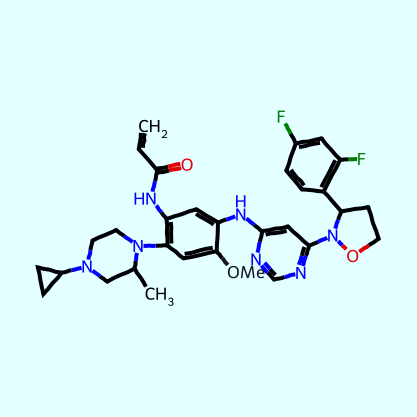 C=CC(=O)Nc1cc(Nc2cc(N3OCCC3c3ccc(F)cc3F)ncn2)c(OC)cc1N1CCN(C2CC2)CC1C